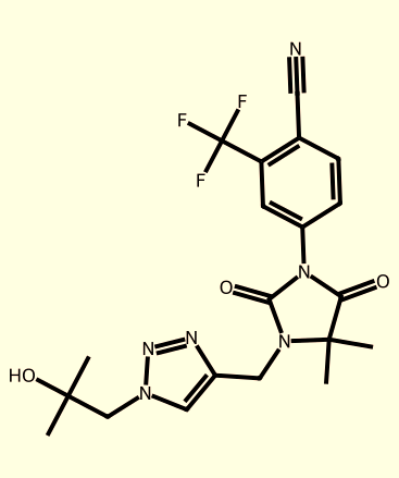 CC(C)(O)Cn1cc(CN2C(=O)N(c3ccc(C#N)c(C(F)(F)F)c3)C(=O)C2(C)C)nn1